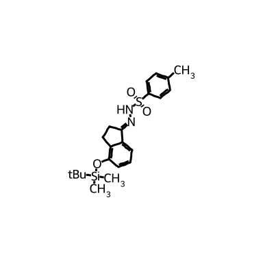 Cc1ccc(S(=O)(=O)NN=C2CCc3c(O[Si](C)(C)C(C)(C)C)cccc32)cc1